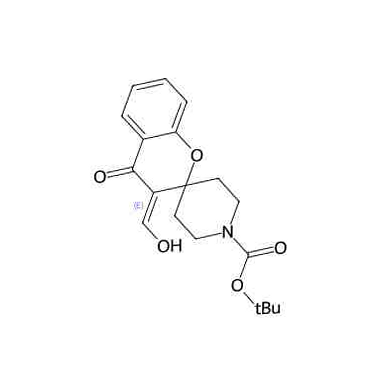 CC(C)(C)OC(=O)N1CCC2(CC1)Oc1ccccc1C(=O)/C2=C/O